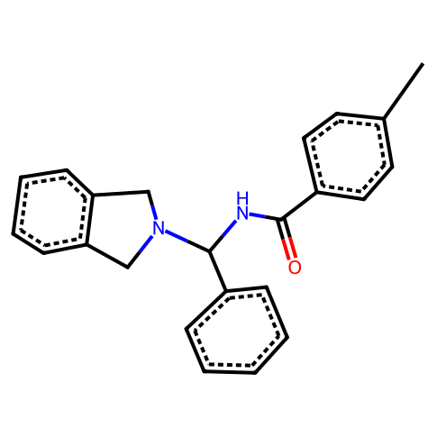 Cc1ccc(C(=O)NC(c2ccccc2)N2Cc3ccccc3C2)cc1